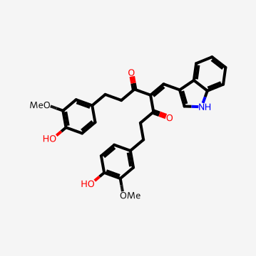 COc1cc(CCC(=O)C(=Cc2c[nH]c3ccccc23)C(=O)CCc2ccc(O)c(OC)c2)ccc1O